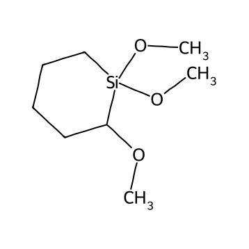 COC1CCCC[Si]1(OC)OC